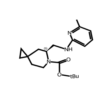 Cc1cccc(NC[C@@H]2CC3(CCN2C(=O)OC(C)(C)C)CC3)n1